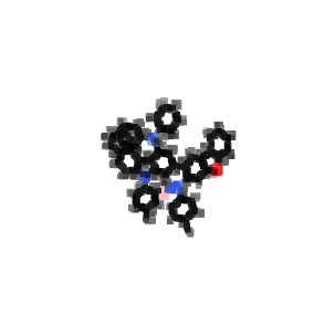 Cc1ccc(Nc2cc3oc4ccccc4c3cc2-c2cc(N(c3ccccc3)c3ccccc3)c3c4c5ccccc5ccc4n4c3c2Bc2cc(C)ccc2-4)cc1